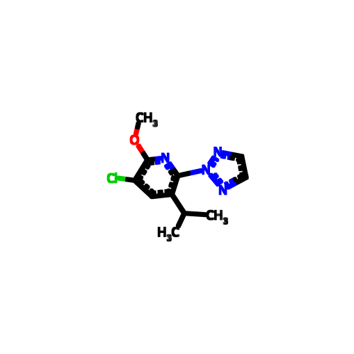 COc1nc(-n2nccn2)c(C(C)C)cc1Cl